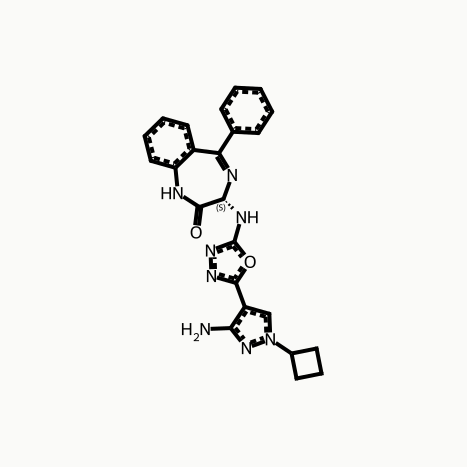 Nc1nn(C2CCC2)cc1-c1nnc(N[C@H]2N=C(c3ccccc3)c3ccccc3NC2=O)o1